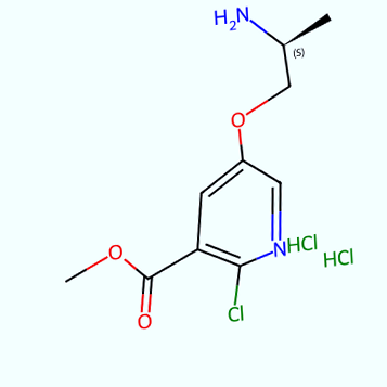 COC(=O)c1cc(OC[C@H](C)N)cnc1Cl.Cl.Cl